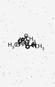 COc1ccn2cc(C(C)=O)c(C(=O)Nc3cccc(-c4cnn(C)c4)c3F)c2c1